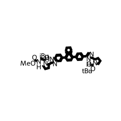 CCC(C)[C@H](NC(=O)OC)C(=O)N1CCCC1c1nc2cc(-c3ccc(-c4ccc(-c5cnc(C6CCCN6C(=O)OC(C)(C)C)[nH]5)cc4)c4c3C3CCC4C3)ccc2[nH]1